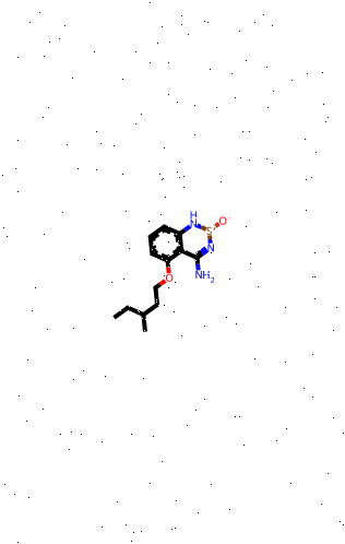 CCC(C)CCOc1cccc2c1C(N)=N[S+]([O-])N2